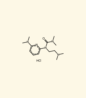 CN(C)CCN(C(=O)N(C)C)c1cccc(N(C)C)n1.Cl